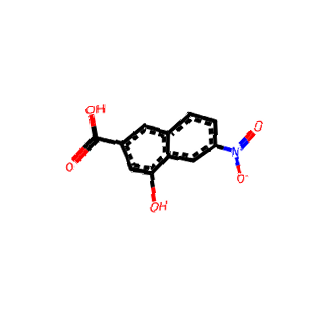 O=C(O)c1cc(O)c2cc([N+](=O)[O-])ccc2c1